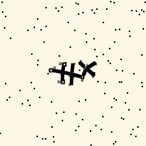 C[Si](C)(C)O[Si](C)(C)C(Cl)(Cl)Cl